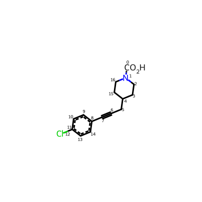 O=C(O)N1CCC(CC#Cc2ccc(Cl)cc2)CC1